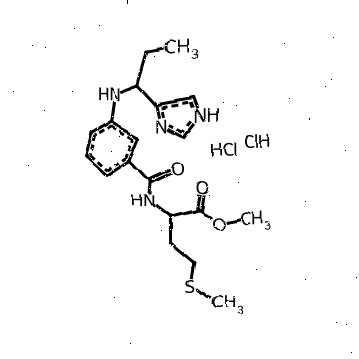 CCC(Nc1cccc(C(=O)NC(CCSC)C(=O)OC)c1)c1c[nH]cn1.Cl.Cl